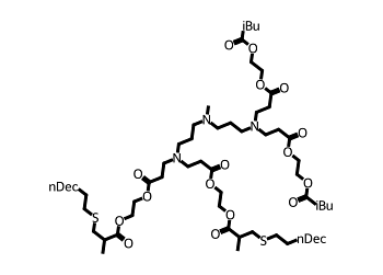 CCCCCCCCCCCCSCC(C)C(=O)OCCOC(=O)CCN(CCCN(C)CCCN(CCC(=O)OCCOC(=O)C(C)CC)CCC(=O)OCCOC(=O)C(C)CC)CCC(=O)OCCOC(=O)C(C)CSCCCCCCCCCCCC